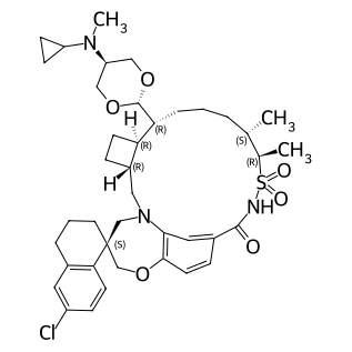 C[C@@H]1[C@@H](C)CCC[C@@H]([C@H]2OC[C@H](N(C)C3CC3)CO2)[C@@H]2CC[C@H]2CN2C[C@@]3(CCCc4cc(Cl)ccc43)COc3ccc(cc32)C(=O)NS1(=O)=O